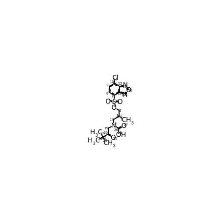 C[C@H](COS(=O)(=O)c1ccc(Cl)c2nonc12)CN(CC(=O)C(C)(C)C)C(=O)O